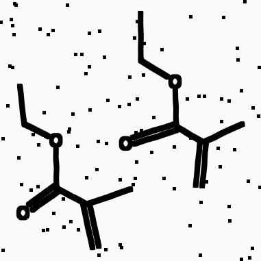 C=C(C)C(=O)OCC.C=C(C)C(=O)OCC